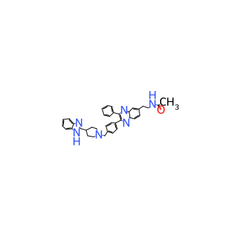 CC(=O)NCCc1ccc2nc(-c3ccc(CN4CCC(c5nc6ccccc6[nH]5)CC4)cc3)c(-c3ccccc3)nc2c1